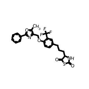 Cc1oc(-c2ccccc2)nc1COc1ccc(CCCC2NC(=O)SC2=O)cc1C(F)(F)F